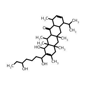 CCC(O)CCCC(O)C1=C(C)CC2(C)CC3(C)CC4C(C(C)C)C=CC(C)C4C(=O)C3C(C)C2(C)C1O